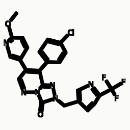 COc1ccc(-c2cnn3c(=O)n(Cc4ccc(C(F)(F)F)nc4)nc3c2-c2ccc(Cl)cc2)cn1